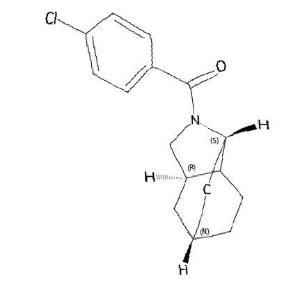 O=C(c1ccc(Cl)cc1)N1C[C@@H]2C[C@H]3CCC2[C@@H]1C3